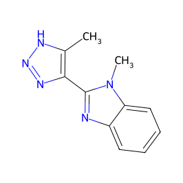 Cc1[nH]nnc1-c1nc2ccccc2n1C